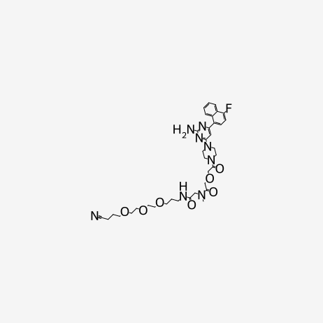 CN(CC(=O)NCCCOCCOCCOCCCC#N)C(=O)COCC(=O)N1CCN(c2cc(-c3ccc(F)c4ccccc34)nc(N)n2)CC1